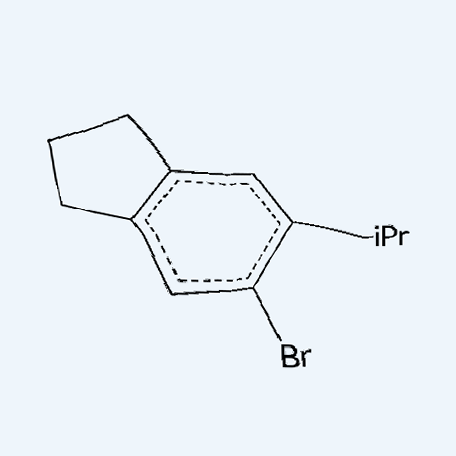 CC(C)c1cc2c(cc1Br)CCC2